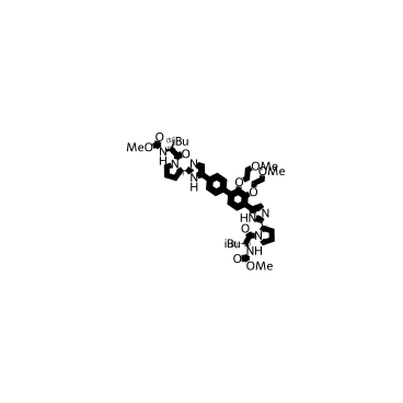 CC[C@H](C)[C@H](NC(=O)OC)C(=O)N1CCC[C@H]1c1ncc(-c2ccc(-c3ccc(-c4cnc([C@@H]5CCCN5C(=O)[C@@H](NC(=O)OC)[C@@H](C)CC)[nH]4)c(OCCOC)c3OCCOC)cc2)[nH]1